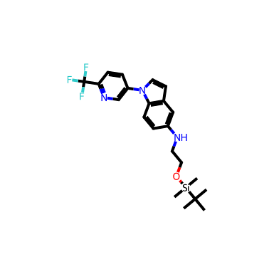 CC(C)(C)[Si](C)(C)OCCNc1ccc2c(ccn2-c2ccc(C(F)(F)F)nc2)c1